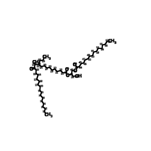 CCCCCCCCCCCCCCCCCC(=O)C(C)C(CCC)CCCCCCCCCC(=O)OC(CO)COC(=O)CCCCCCCCCCCCCCC